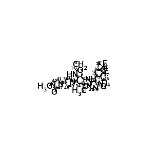 C=CC(=O)Nc1cc(Nc2cc(N3OCCC3c3cccc(C(F)(F)F)c3F)ncn2)c(OC)cc1N1CCC(N2CCN(C)C(=O)C2)CC1